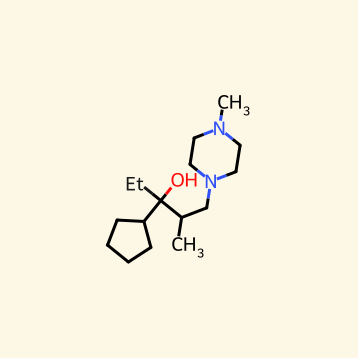 CCC(O)(C(C)CN1CCN(C)CC1)C1CCCC1